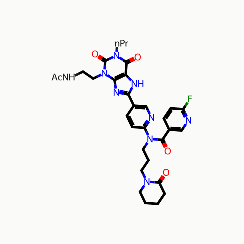 CCCn1c(=O)c2[nH]c(-c3ccc(N(CCCN4CCCCC4=O)C(=O)c4ccc(F)nc4)nc3)nc2n(CCNC(C)=O)c1=O